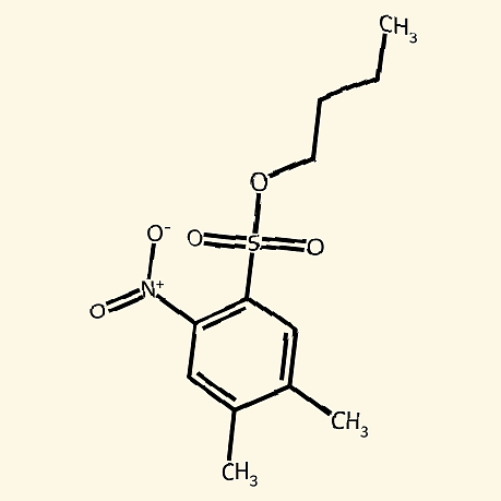 CCCCOS(=O)(=O)c1cc(C)c(C)cc1[N+](=O)[O-]